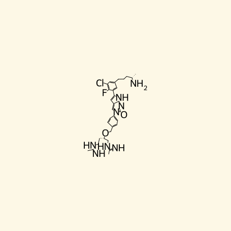 CC(=N)NCC[C@@H](CNC(C)=N)OCc1ccc(-n2cc3cc(-c4cc(CCC[C@H](C)N)cc(Cl)c4F)[nH]c3nc2=O)cc1